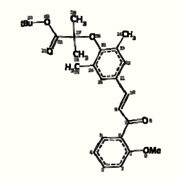 COc1ccccc1C(=O)/C=C/c1cc(C)c(OC(C)(C)C(=O)OC(C)(C)C)c(C)c1